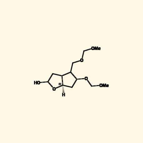 COCOCC1C(OCOC)C[C@H]2OC(O)CC12